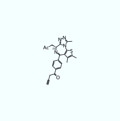 C#CCC(=O)c1ccc(C2=N[C@@H](CC(C)=O)c3nnc(C)n3-c3sc(C)c(C)c32)cc1